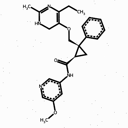 CCC1=C(OC[C@@]2(c3ccccc3)C[C@H]2C(=O)Nc2cncc(OC)c2)CNC(C)=N1